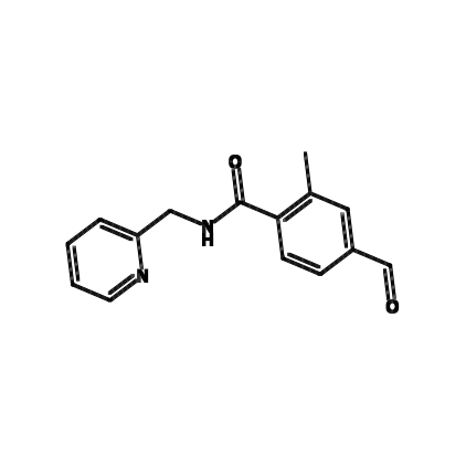 Cc1cc(C=O)ccc1C(=O)NCc1ccccn1